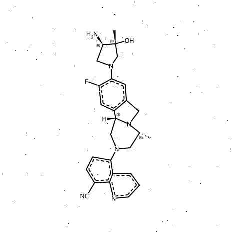 C[C@@H]1CN(c2ccc(C#N)c3ncccc23)C[C@@H]2c3cc(F)c(N4C[C@@H](N)[C@](C)(O)C4)cc3CN12